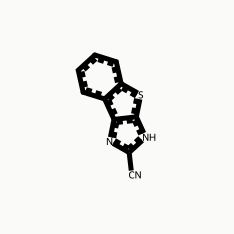 N#Cc1nc2c([nH]1)sc1ccccc12